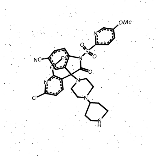 CCOc1nc(Cl)ccc1C1(N2CCN(C3CCNCC3)CC2)C(=O)N(S(=O)(=O)c2ccc(OC)cn2)c2ccc(C#N)cc21